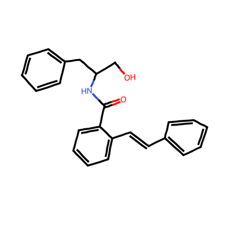 O=C(NC(CO)Cc1ccccc1)c1ccccc1C=Cc1ccccc1